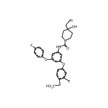 CC(C)CC1(O)CCN(C(=O)Nc2cc(Oc3ccc(F)cc3)cc(Oc3ccc(CC(=O)O)c(F)c3)c2)CC1